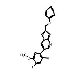 COc1cc(-c2cnc3nc(COc4ccccc4)cn3c2)c(F)cc1F